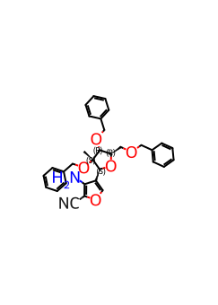 C[C@@]1(OCc2ccccc2)[C@H](OCc2ccccc2)[C@@H](COCc2ccccc2)O[C@H]1c1coc(C#N)c1N